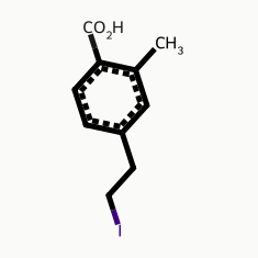 Cc1cc(CCI)ccc1C(=O)O